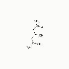 CB(C)CC(O)CC(C)=O